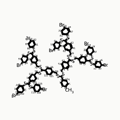 Cc1ccc(C(SCc2ccc(C(SCc3ccc(C(Sc4ccc(Br)cc4)Sc4ccc(Br)cc4)cc3)SCc3ccc(C(Sc4ccc(Br)cc4)Sc4ccc(Br)cc4)cc3)cc2)SCc2ccc(C(SCc3ccc(C(Sc4ccc(Br)cc4)Sc4ccc(Br)cc4)cc3)SCc3ccc(C(Sc4ccc(Br)cc4)Sc4ccc(Br)cc4)cc3)cc2)cc1